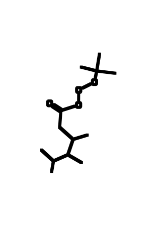 CC(C)C(C)C(C)CC(=O)OOOC(C)(C)C